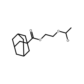 CC([O])OCCOC(=O)C12CC3CC(CC(C3)C1)C2